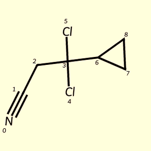 N#CCC(Cl)(Cl)C1CC1